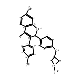 CCCN1CC(Oc2ccc(C3Oc4cc(O)ccc4C(C)=C3c3ccc(O)cc3)cc2)C1